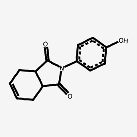 O=C1C2CC=CCC2C(=O)N1c1ccc(O)cc1